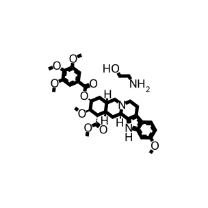 COC(=O)[C@H]1[C@H]2C[C@@H]3c4[nH]c5cc(OC)ccc5c4CCN3C[C@H]2C[C@@H](OC(=O)c2cc(OC)c(OC)c(OC)c2)[C@@H]1OC.NCCO